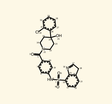 O=C(c1ccc(NS(=O)(=O)c2cccc3c2N=CC3)cc1)N1CCC(O)(c2ccccc2Cl)CC1